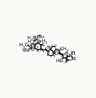 C=C1/C(=C\C=C2/CCC[C@]3(C)[C@@H]([C@H](C)/C=C/[C@@H](O)C4(C(=O)N(CC)CC)CC4)CC[C@@H]23)C[C@@H](O[Si](C)(C)C(C)(C)C)C[C@@H]1O[Si](C)(C)C(C)(C)C